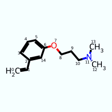 C=Cc1cccc(OCCCN(C)C)c1